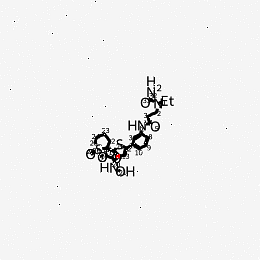 CCN(CCC(=O)Nc1cccc(-c2ccc([C@@]3(CC(=O)NO)CCCCS3(=O)=O)s2)c1)C(N)=O